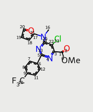 COC(=O)c1nc(-c2ccc(C(F)(F)F)cc2)nc(N(C)c2ccco2)c1Cl